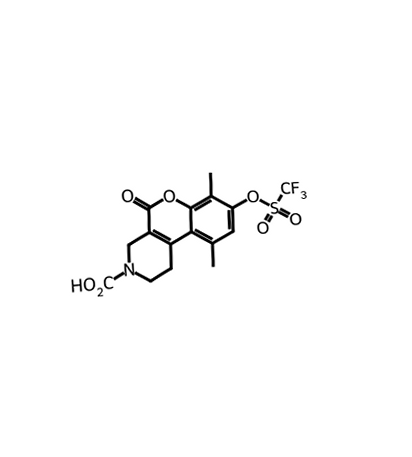 Cc1c(OS(=O)(=O)C(F)(F)F)cc(C)c2c3c(c(=O)oc12)CN(C(=O)O)CC3